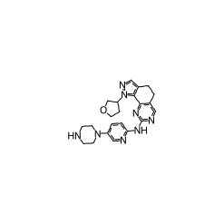 c1cc(Nc2ncc3c(n2)-c2c(cnn2C2CCOC2)CC3)ncc1N1CCNCC1